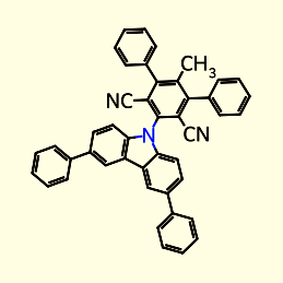 Cc1c(-c2ccccc2)c(C#N)c(-n2c3ccc(-c4ccccc4)cc3c3cc(-c4ccccc4)ccc32)c(C#N)c1-c1ccccc1